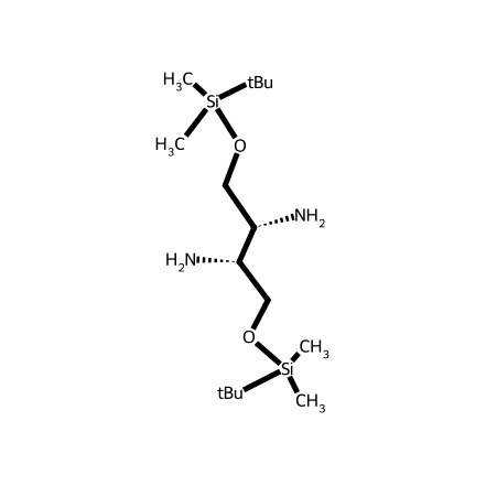 CC(C)(C)[Si](C)(C)OC[C@H](N)[C@@H](N)CO[Si](C)(C)C(C)(C)C